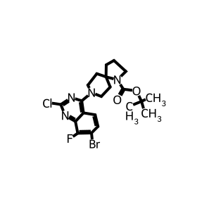 CC(C)(C)OC(=O)N1CCCC12CCN(c1nc(Cl)nc3c(F)c(Br)ccc13)CC2